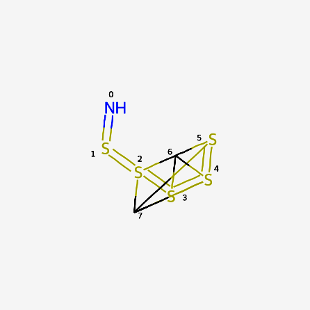 N=S=S12=S34=S56=S(C153)C264